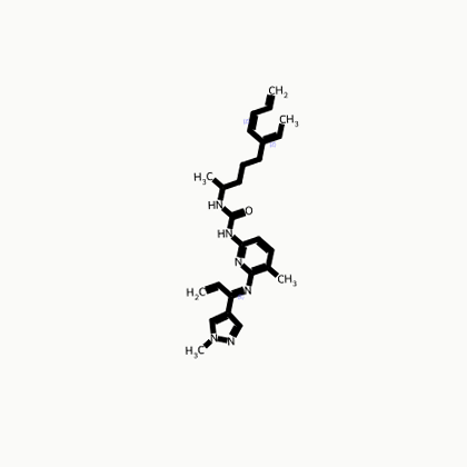 C=C/C=C\C(=C/C)CCCC(C)NC(=O)Nc1ccc(C)c(/N=C(\C=C)c2cnn(C)c2)n1